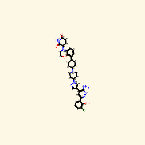 Nc1nnc(-c2cccc(Cl)c2O)cc1-c1cnn(C2CCN(C3CCC(c4cccc5c4OCCN5C4CCC(=O)NC4=O)CC3)CC2)c1